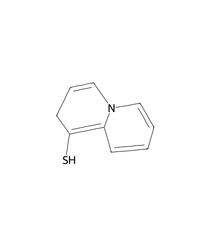 SC1=C2C=CC=CN2C=CC1